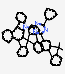 CC1(C)c2ccccc2-c2ccc(-c3nc(-c4ccccc4)nc(-n4c5ccccc5c5c6ccccc6c6c(c54)C4(c5ccccc5-c5ccccc54)c4ccccc4-6)n3)cc21